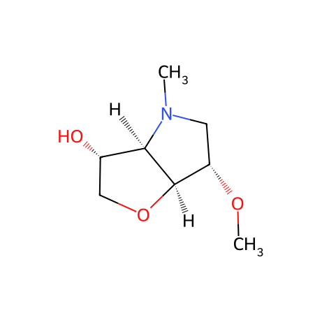 CO[C@H]1CN(C)[C@H]2[C@@H]1OC[C@@H]2O